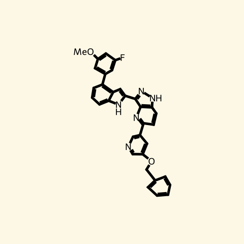 COc1cc(F)cc(-c2cccc3[nH]c(-c4n[nH]c5ccc(-c6cncc(OCc7ccccc7)c6)nc45)cc23)c1